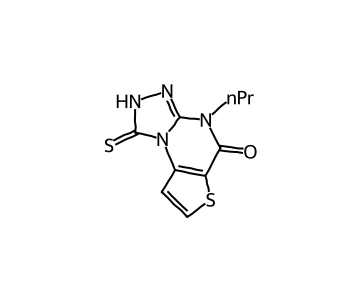 CCCn1c(=O)c2sccc2n2c(=S)[nH]nc12